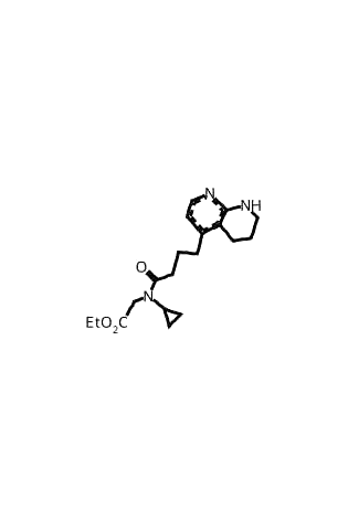 CCOC(=O)CN(C(=O)CCCc1ccnc2c1CCCN2)C1CC1